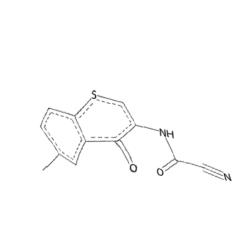 Cc1ccc2scc(NC(=O)C#N)c(=O)c2c1